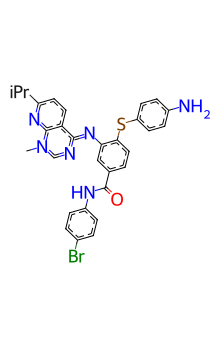 CC(C)c1ccc2c(=Nc3cc(C(=O)Nc4ccc(Br)cc4)ccc3Sc3ccc(N)cc3)ncn(C)c2n1